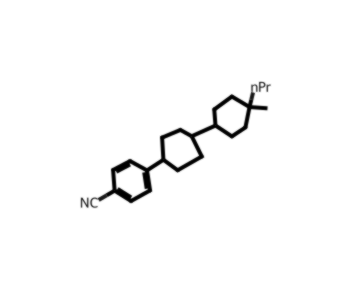 CCCC1(C)CCC(C2CCC(c3ccc(C#N)cc3)CC2)CC1